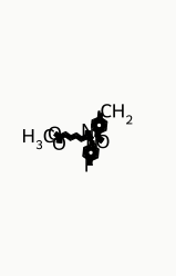 C=Cc1ccc2c(=O)n(-c3ccc(F)cc3)c(CCCCC(=O)OC)nc2c1